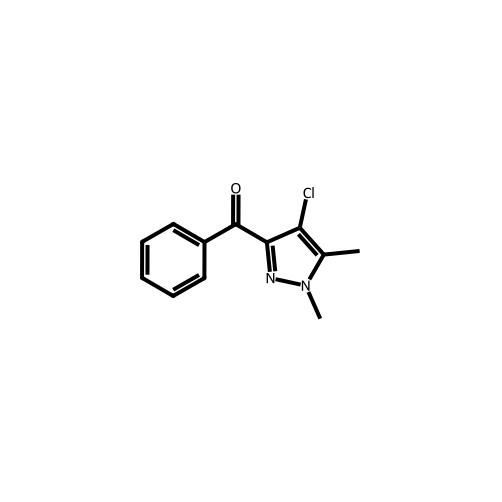 Cc1c(Cl)c(C(=O)c2ccccc2)nn1C